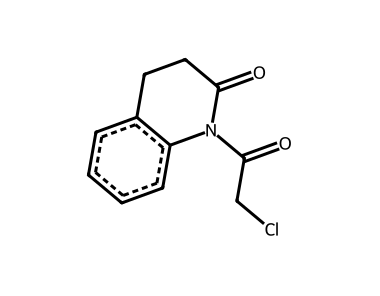 O=C(CCl)N1C(=O)CCc2ccccc21